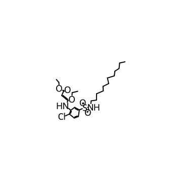 CCCCCCCCCCCCNS(=O)(=O)c1ccc(Cl)c(NC(=CC(=O)OCC)OCC)c1